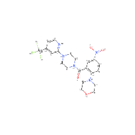 O=C(c1cc([N+](=O)[O-])ccc1N1CCOCC1)N1CCN(c2cc(C(F)(F)F)ccn2)CC1